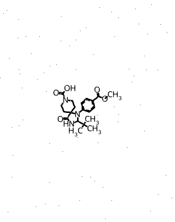 COC(=O)c1ccc(N2C(C(C)(C)C)NC(=O)C23CCN(C(=O)O)CC3)cc1